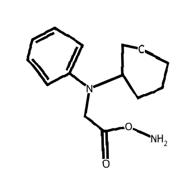 NOC(=O)CN(c1ccccc1)C1CCCCC1